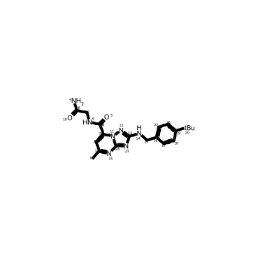 Cc1cc(C(=O)NCC(N)=O)n2nc(NCc3ccc(C(C)(C)C)cc3)nc2n1